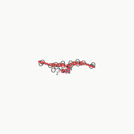 C=CC(=O)OCCCCCCOc1ccc(OC(=O)C2CCC(C(=O)OCCc3ccc(OC(=O)C4CCC(C(=O)Oc5ccc(OCCCCCCOC(=O)C=C)cc5)CC4)c4nc(/C=N\N=C\c5ccc([N+](=O)[O-])cc5)sc34)CC2)cc1